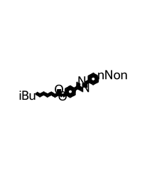 CCCCCCCCCc1ccc(-c2ncc(-c3ccc(OC(=O)CCCCCC[C@@H](C)CC)cc3)cn2)cc1